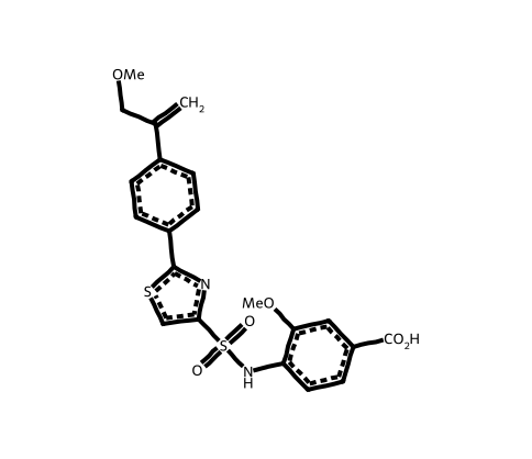 C=C(COC)c1ccc(-c2nc(S(=O)(=O)Nc3ccc(C(=O)O)cc3OC)cs2)cc1